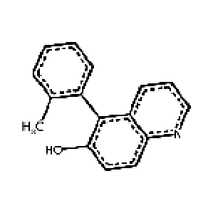 Cc1ccccc1-c1c(O)ccc2ncccc12